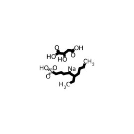 CCCCC(CC)[CH]([Na])CCCS(=O)(=O)O.O=C(O)CC(O)C(=O)O